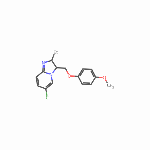 CCC1N=C2C=CC(Cl)=CN2C1COc1ccc(OC(F)(F)F)cc1